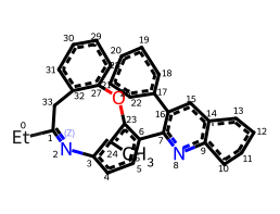 CC/C1=N/c2ccc(-c3nc4ccccc4cc3-c3ccccc3)c(c2C)Oc2ccccc2C1